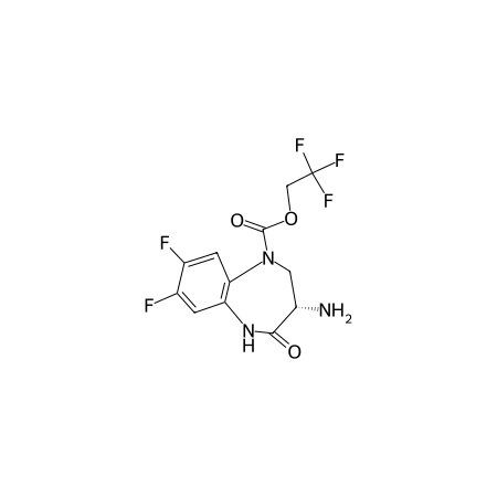 N[C@H]1CN(C(=O)OCC(F)(F)F)c2cc(F)c(F)cc2NC1=O